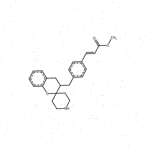 COC(=O)/C=C/c1ccc(CC2Cc3ccccc3OC23CCNCC3)cc1